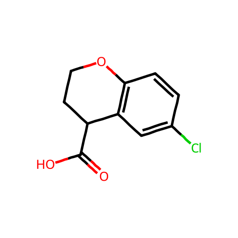 O=C(O)C1CCOc2ccc(Cl)cc21